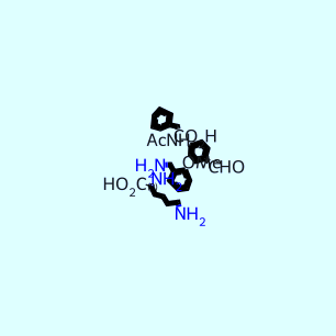 CC(=O)Nc1ccc(C=O)cc1.COc1ccccc1CN.NCCCC[C@@H](N)C(=O)O.O=C(O)Cc1ccccc1